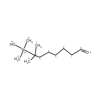 CC(C)(CCCCCC=O)[Si](C)(C)O